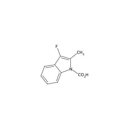 Cc1c(F)c2ccccc2n1C(=O)O